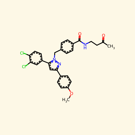 COc1ccc(-c2cc(-c3ccc(Cl)c(Cl)c3)n(Cc3ccc(C(=O)NCCC(C)=O)cc3)n2)cc1